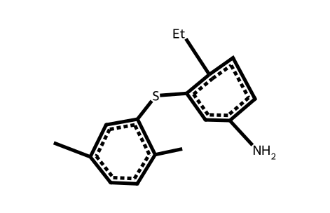 CCc1ccc(N)cc1Sc1cc(C)ccc1C